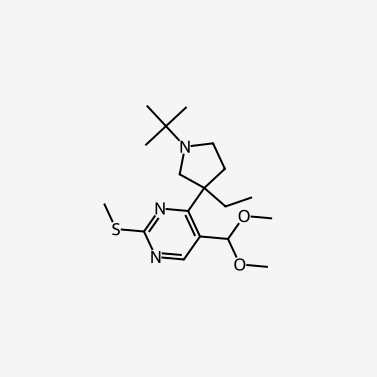 CCC1(c2nc(SC)ncc2C(OC)OC)CCN(C(C)(C)C)C1